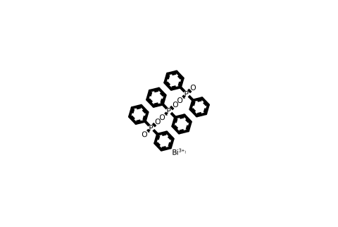 O=P([O-])(c1ccccc1)c1ccccc1.O=P([O-])(c1ccccc1)c1ccccc1.O=P([O-])(c1ccccc1)c1ccccc1.[Bi+3]